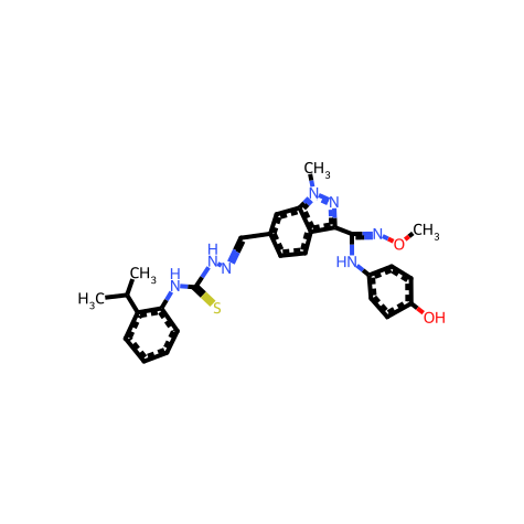 CO/N=C(\Nc1ccc(O)cc1)c1nn(C)c2cc(/C=N/NC(=S)Nc3ccccc3C(C)C)ccc12